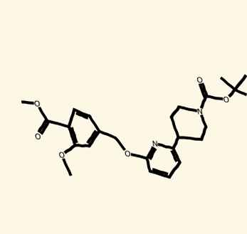 COC(=O)c1ccc(COc2cccc(C3CCN(C(=O)OC(C)(C)C)CC3)n2)cc1OC